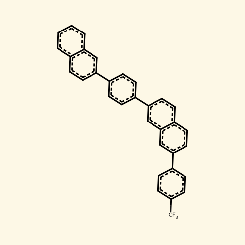 FC(F)(F)c1ccc(-c2ccc3ccc(-c4ccc(-c5ccc6ccccc6c5)cc4)cc3c2)cc1